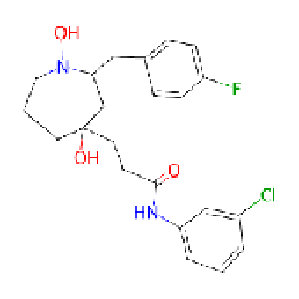 O=C(CCC1(O)CCCN(O)C(Cc2ccc(F)cc2)C1)Nc1cccc(Cl)c1